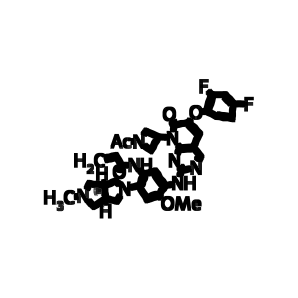 C=CC(=O)Nc1cc(Nc2ncc3cc(Oc4ccc(F)cc4F)c(=O)n(C4CN(C(C)=O)C4)c3n2)c(OC)cc1N1C[C@H]2CN(C)C[C@H]2C1